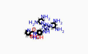 N[C@@H]1C[C@H](N)CN(c2nc(Nc3ccc(NC(=O)c4ncccc4O)c(O)c3)nc(N3C[C@H](N)C[C@H](N)C3)n2)C1